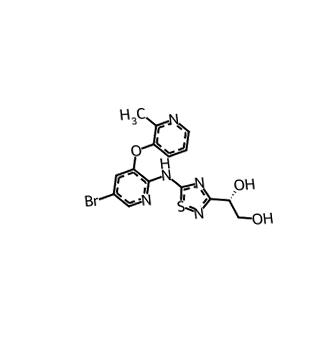 Cc1ncccc1Oc1cc(Br)cnc1Nc1nc([C@H](O)CO)ns1